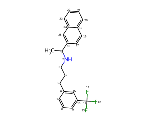 CC(NCCCc1cccc(C(F)(F)F)c1)c1ccc2ccccc2c1